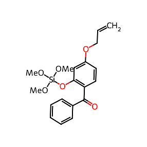 C=CCOc1ccc(C(=O)c2ccccc2)c(O[Si](OC)(OC)OC)c1